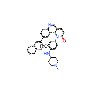 CN1CCC(Nc2ccc(-n3c(=O)ccc4cnc5ccc(-c6ccc7ccccc7c6)cc5c43)cc2C(F)(F)F)CC1